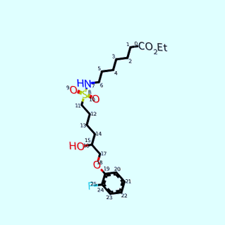 CCOC(=O)CCCCCCNS(=O)(=O)CCCCC(O)COc1ccccc1F